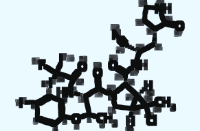 CC(Oc1ccc(F)cc1)[C@H](NC(=O)C(F)(F)F)C(=O)N1C[C@H]2[C@@H]([C@H]1C(=O)N[C@H](C#N)C[C@@H]1CCNC1=O)C2(C)Cl